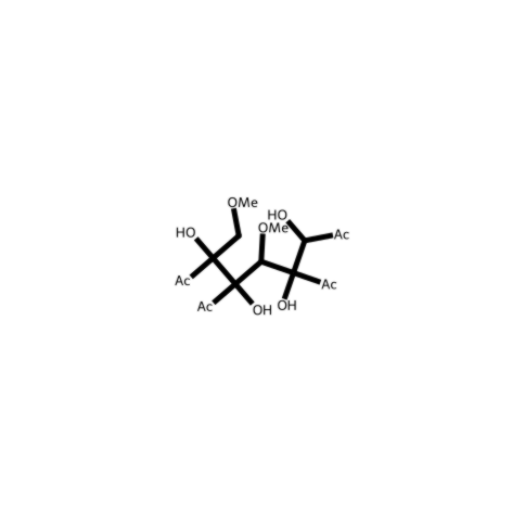 COCC(O)(C(C)=O)C(O)(C(C)=O)C(OC)C(O)(C(C)=O)C(O)C(C)=O